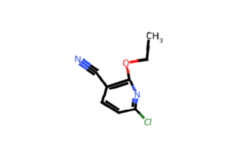 CCOc1nc(Cl)ccc1C#N